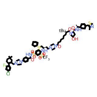 Cc1ncsc1-c1ccc([C@H](C)NC(=O)[C@@H]2C[C@@H](O)CN2C(=O)[C@@H](CCCCCCC(=O)N2CCN(CC[C@H](CSc3ccccc3)Nc3ccc(S(=O)(=O)NC(=O)c4ccc(N5CCN(CC6=C(c7ccc(Cl)cc7F)CCC(C)(C)C6)CC5)cc4)cc3S(=O)(=O)C(F)(F)F)CC2)C(C)(C)C)cc1